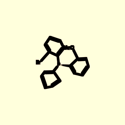 COc1ccccc1[P@](c1ccccc1)c1ccccc1Br